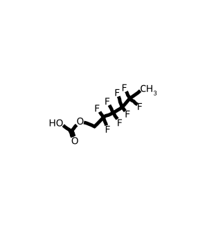 CC(F)(F)C(F)(F)C(F)(F)C(F)(F)COC(=O)O